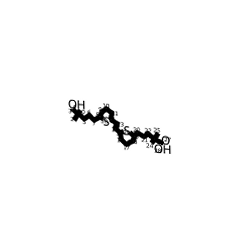 CC(C)(CO)CCCC1CCCC(C=CC2CCCC(CCCC(C)(C)C(=O)O)S2)S1